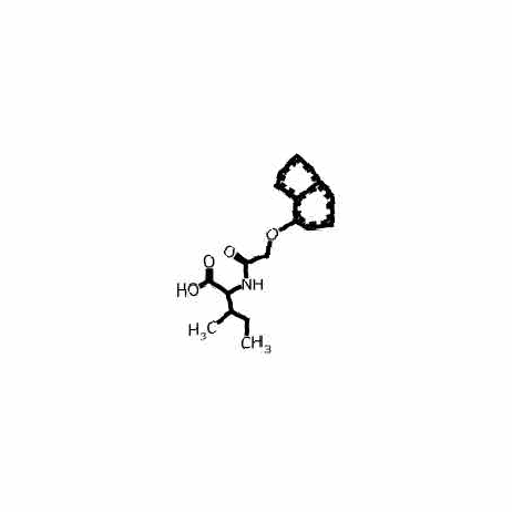 CCC(C)C(NC(=O)COc1cccc2ccccc12)C(=O)O